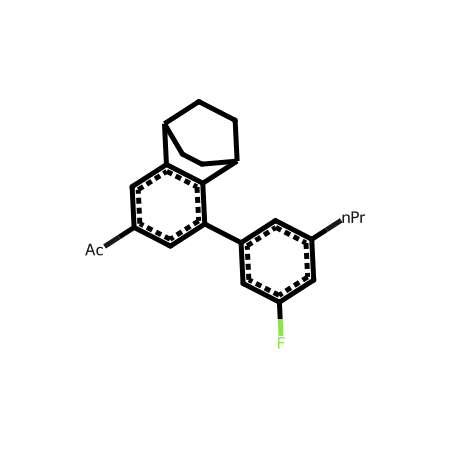 CCCc1cc(F)cc(-c2cc(C(C)=O)cc3c2C2CCC3CC2)c1